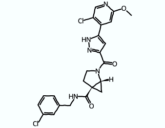 COc1cc(-c2cc(C(=O)N3CC[C@@]4(C(=O)NCc5cccc(Cl)c5)C[C@@H]34)n[nH]2)c(Cl)cn1